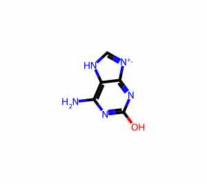 Nc1nc(O)nc2c1NC=[N+]2